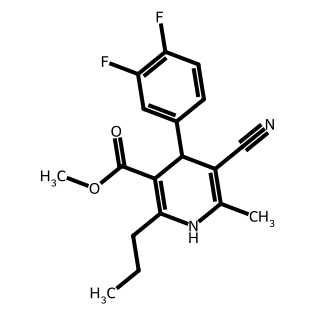 CCCC1=C(C(=O)OC)C(c2ccc(F)c(F)c2)C(C#N)=C(C)N1